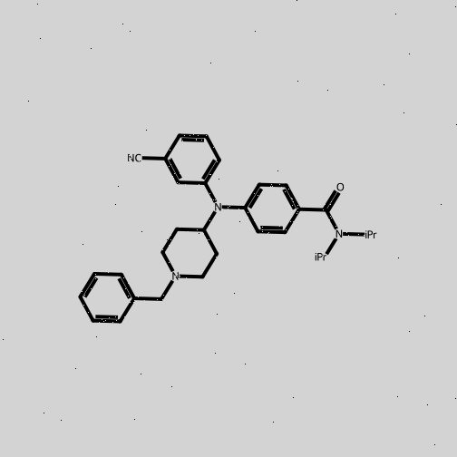 CC(C)N(C(=O)c1ccc(N(c2cccc(C#N)c2)C2CCN(Cc3ccccc3)CC2)cc1)C(C)C